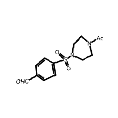 CC(=O)N1CCN(S(=O)(=O)c2ccc(C=O)cc2)CC1